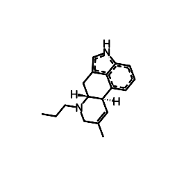 CCCN1CC(C)=C[C@@H]2c3cccc4[nH]cc(c34)C[C@H]21